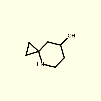 OC1CCNC2(CC2)C1